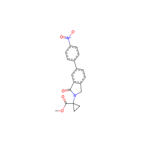 COC(=O)C1(N2Cc3ccc(-c4ccc([N+](=O)[O-])cc4)cc3C2=O)CC1